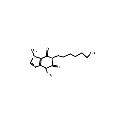 Cn1cnc2c1c(=O)n(CCCCCCO)c(=O)n2C